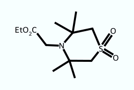 CCOC(=O)CN1C(C)(C)CS(=O)(=O)CC1(C)C